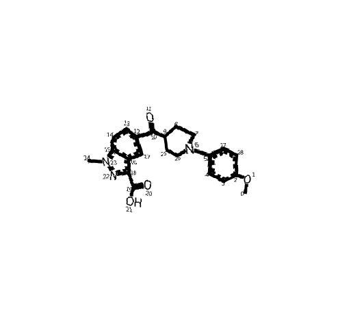 COc1ccc(N2CCC(C(=O)c3ccc4c(c3)c(C(=O)O)nn4C)CC2)cc1